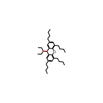 CCCCc1cc(CCCC)c(Oc2c(CCCC)cc(CCCC)cc2CCCC)c(CCCC)c1